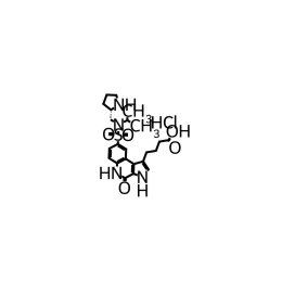 CC(C)N(C[C@@H]1CCCN1)S(=O)(=O)c1ccc2[nH]c(=O)c3[nH]cc(CCCC(=O)O)c3c2c1.Cl